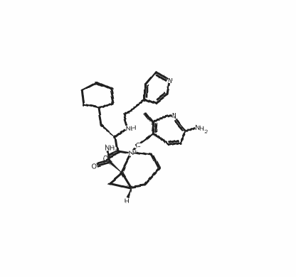 Cc1nc(N)ccc1C[N+]1(C(=O)[C@@H](CC2CCCCC2)NCc2ccncc2)CCC[C@@H]2C[C@@]21C(N)=O